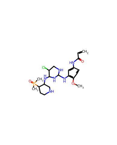 C=CC(=O)Nc1ccc(OC)c(NC2NCC(Cl)C(NC3CNCCC3P(C)(C)=O)N2)c1